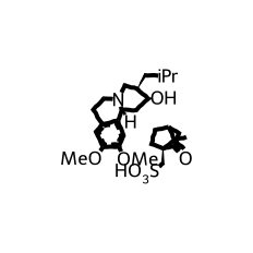 CC1(C)C2CC[C@@]1(CS(=O)(=O)O)C(=O)C2.COc1cc2c(cc1OC)[C@H]1C[C@@H](O)[C@H](CC(C)C)CN1CC2